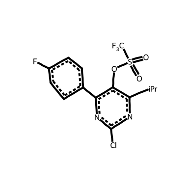 CC(C)c1nc(Cl)nc(-c2ccc(F)cc2)c1OS(=O)(=O)C(F)(F)F